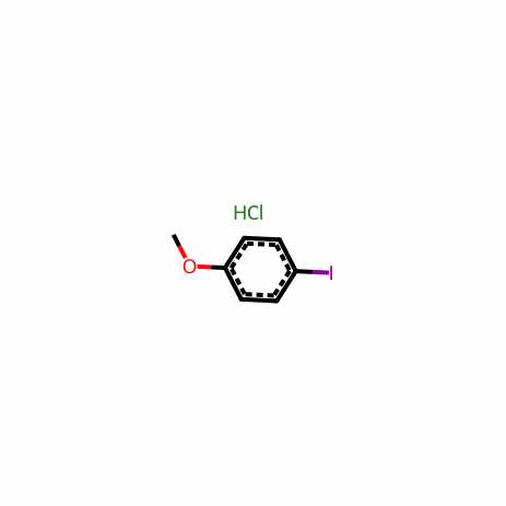 COc1ccc(I)cc1.Cl